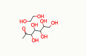 CC(=O)C(O)C(O)C(O)C(O)CO.OCCO